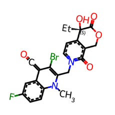 CC[C@@]1(O)C(=O)OCc2c1ccn(CC1=C(Br)C(=C=O)c3cc(F)ccc3N1C)c2=O